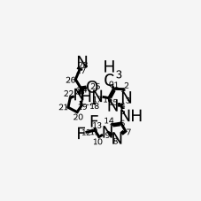 Cc1cnc(Nc2cnn(CC(F)F)c2)nc1NC[C@@H]1CCCN1C(=O)CC#N